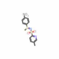 Cc1ccc(S(=O)(=O)/N=S(\C)c2ccc([N+](=O)[O-])cc2)nc1